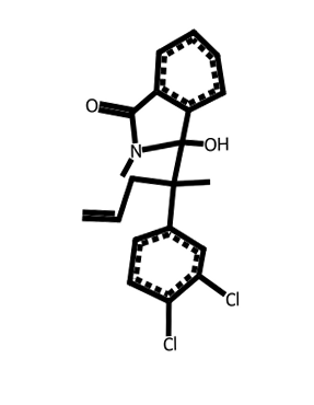 C=CCC(C)(c1ccc(Cl)c(Cl)c1)C1(O)c2ccccc2C(=O)N1C